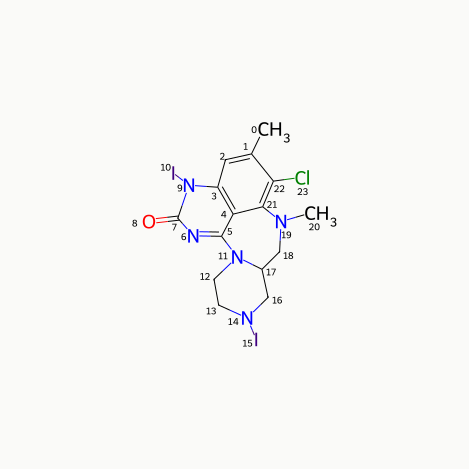 Cc1cc2c3c(nc(=O)n2I)N2CCN(I)CC2CN(C)c3c1Cl